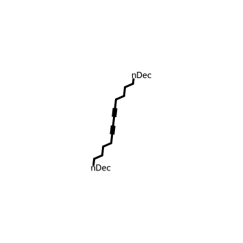 CCCCCCCCCCCCCCC#CC#CCCCCCCCCCCCCCC